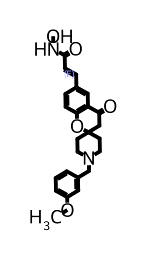 COc1cccc(CN2CCC3(CC2)CC(=O)c2cc(/C=C/C(=O)NO)ccc2O3)c1